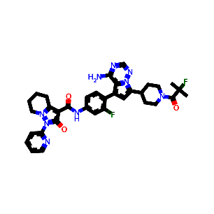 CC(C)(F)C(=O)N1CCC(c2cc(-c3ccc(NC(=O)c4c5n(n(-c6ccccn6)c4=O)CCCC5)cc3F)c3c(N)ncnn23)CC1